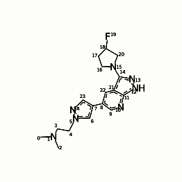 CN(C)CCn1cc(-c2cnc3[nH]nc(N4CCC(F)C4)c3c2)cn1